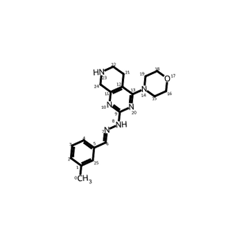 Cc1cccc(/C=N/Nc2nc3c(c(N4CCOCC4)n2)CCNC3)c1